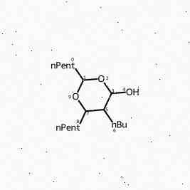 CCCCCC1OC(O)C(CCCC)C(CCCCC)O1